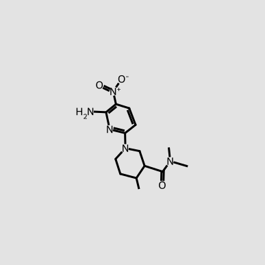 CC1CCN(c2ccc([N+](=O)[O-])c(N)n2)CC1C(=O)N(C)C